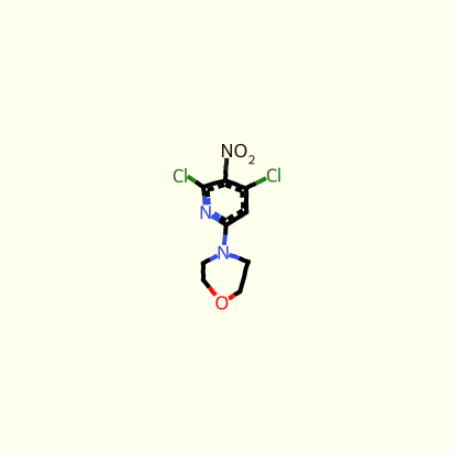 O=[N+]([O-])c1c(Cl)cc(N2CCOCC2)nc1Cl